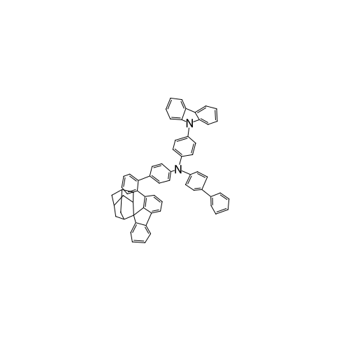 c1ccc(-c2ccc(N(c3ccc(-c4ccccc4-c4cccc5c4C4(c6ccccc6-5)C5CC6CC(C5)CC4C6)cc3)c3ccc(-n4c5ccccc5c5ccccc54)cc3)cc2)cc1